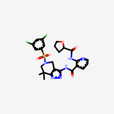 CC1(C)CN(S(=O)(=O)c2cc(F)cc(F)c2)Cc2c(NC(=O)c3cccnc3NC(=O)C3CCCO3)n[nH]c21